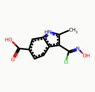 Cc1[nH]c2cc(C(=O)O)ccc2c1C(Cl)=NO